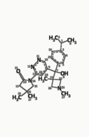 CC(C)c1ccc(C(O)(c2cnnc(N3CC(C)(C)CC3=O)c2)C2(C)CN(C)C2)cc1